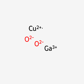 [Cu+2].[Ga+3].[O-2].[O-2]